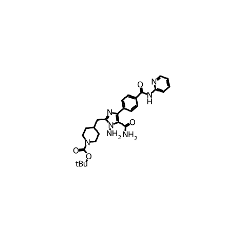 CC(C)(C)OC(=O)N1CCC(Cc2nc(-c3ccc(C(=O)Nc4ccccn4)cc3)c(C(N)=O)n2N)CC1